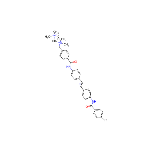 CCc1ccc(C(=O)Nc2ccc(/C=C/c3ccc(NC(=O)c4ccc(C[N+](C)(C)B[N+](C)(C)C)cc4)cc3)cc2)cc1